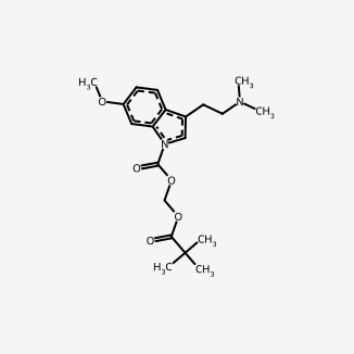 COc1ccc2c(CCN(C)C)cn(C(=O)OCOC(=O)C(C)(C)C)c2c1